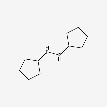 C1CCC(PPC2CCCC2)C1